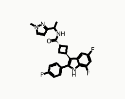 CC(NC(=O)[C@H]1C[C@H](c2c(-c3ccc(F)cc3)[nH]c3c(F)cc(F)cc32)C1)c1ccn(C)n1